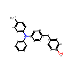 Cc1ccc(N(c2ccccc2)c2ccc(Cc3ccc(O)cc3)cc2)cc1